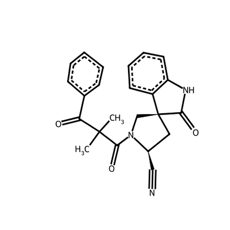 CC(C)(C(=O)c1ccccc1)C(=O)N1C[C@]2(C[C@H]1C#N)C(=O)Nc1ccccc12